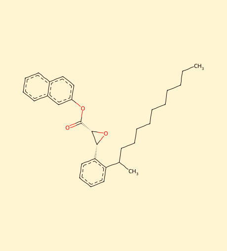 CCCCCCCCCCC(C)c1ccccc1[C@H]1O[C@H]1C(=O)Oc1ccc2ccccc2c1